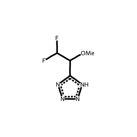 COC(c1nnn[nH]1)C(F)F